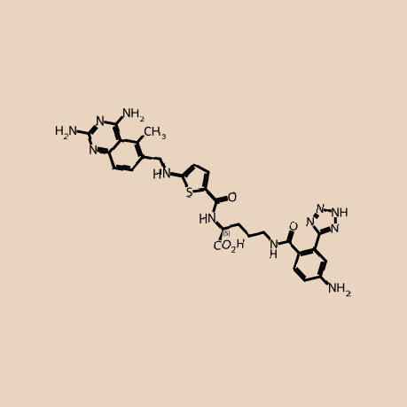 Cc1c(CNc2ccc(C(=O)N[C@@H](CCCNC(=O)c3ccc(N)cc3-c3nn[nH]n3)C(=O)O)s2)ccc2nc(N)nc(N)c12